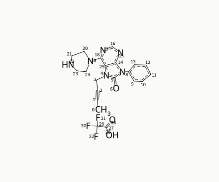 CC#CCn1c(=O)n(-c2ccccc2)c2ncnc(N3CCNCC3)c21.O=C(O)C(F)(F)F